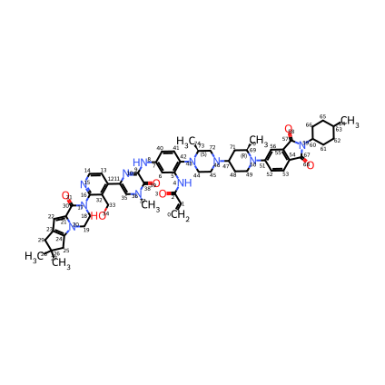 C=CC(=O)Nc1cc(Nc2nc(-c3ccnc(N4CCn5c(cc6c5CC(C)(C)C6)C4=O)c3CO)cn(C)c2=O)ccc1N1CCN(C2CCN(c3ccc4c(c3)C(=O)N(C3CC[C](C)CC3)C4=O)[C@H](C)C2)C[C@@H]1C